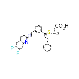 O=C(O)CC1(CS[C@H](CCc2ccccc2)c2cccc(/C=C/c3ccc4cc(F)c(F)cc4n3)c2)CC1